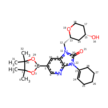 CC1(C)OB(c2cnc3c(c2)n(C[C@H]2C[C@@H](O)CCO2)c(=O)n3C2=CCCCC2)OC1(C)C